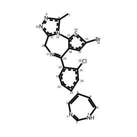 C1=CN=CNC=C1.Cc1nnc2n1-c1sc(Br)cc1C(c1ccccc1Cl)=NC2